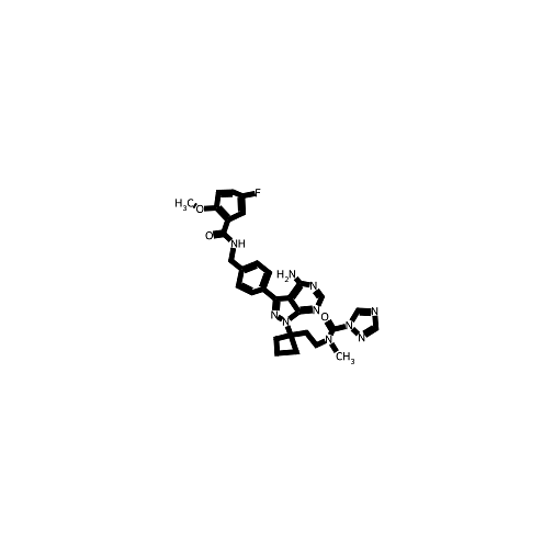 COc1ccc(F)cc1C(=O)NCc1ccc(-c2nn(C3(CCN(C)C(=O)n4cncn4)CCC3)c3ncnc(N)c23)cc1